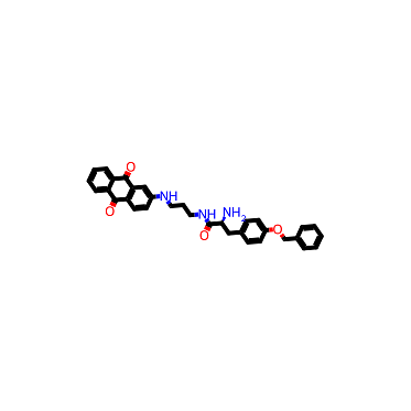 N[C@@H](Cc1ccc(OCc2ccccc2)cc1)C(=O)NCCCNc1ccc2c(c1)C(=O)c1ccccc1C2=O